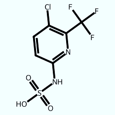 O=S(=O)(O)Nc1ccc(Cl)c(C(F)(F)F)n1